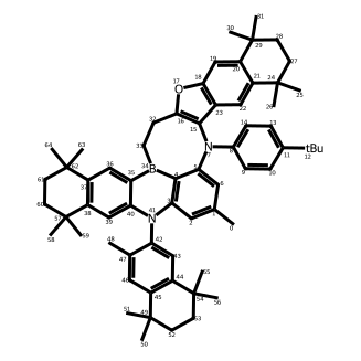 Cc1cc2c3c(c1)N(c1ccc(C(C)(C)C)cc1)c1c(oc4cc5c(cc14)C(C)(C)CCC5(C)C)CCB3c1cc3c(cc1N2c1cc2c(cc1C)C(C)(C)CCC2(C)C)C(C)(C)CCC3(C)C